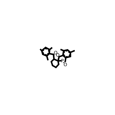 Cc1cc(C)c(C(=O)C2CCCCC2(P=O)C(=O)c2c(C)cc(C)cc2C)c(C)c1